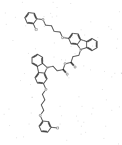 O=C(CCn1c2ccccc2c2ccc(OCCCCOc3cccc(Cl)c3)cc21)OC(=O)CCn1c2ccccc2c2ccc(OCCCCOc3ccccc3Cl)cc21